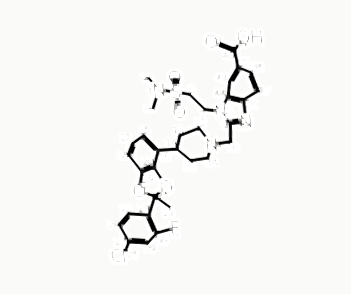 CN(C)S(=O)(=O)CCn1c(CN2CCC(c3cccc4c3OC(C)(c3ccc(Cl)cc3F)O4)CC2)nc2ccc(C(=O)O)cc21